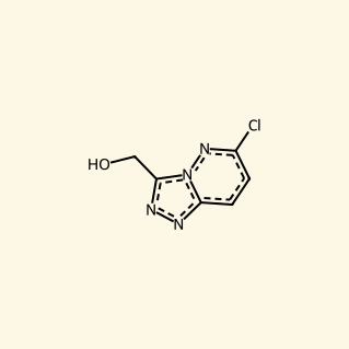 OCc1nnc2ccc(Cl)nn12